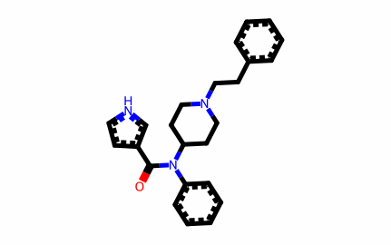 O=C(c1cc[nH]c1)N(c1ccccc1)C1CCN(CCc2ccccc2)CC1